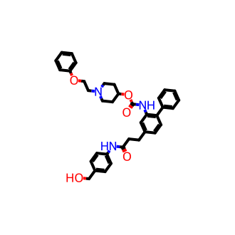 O=C(CCc1ccc(-c2ccccc2)c(NC(=O)OC2CCN(CCOc3ccccc3)CC2)c1)Nc1ccc(CO)cc1